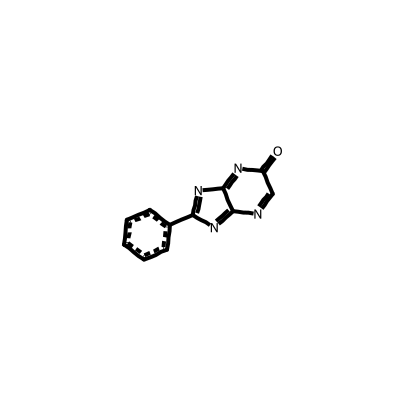 O=C1C=NC2=NC(c3ccccc3)=NC2=N1